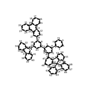 c1ccc(-c2cc(-c3cc(-c4ccc5c6ccccc6c6ccccc6c5c4)cc(-n4c5ccccc5c5ccccc54)c3)nc(-c3cccc4c3-c3ccccc3C43c4ccccc4-c4ccccc43)c2)cc1